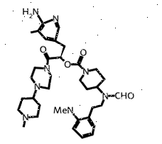 CNc1ccccc1CCN(C=O)C1CCN(C(=O)O[C@H](Cc2cnc(N)c(C)c2)C(=O)N2CCN(C3CCN(C)CC3)CC2)CC1